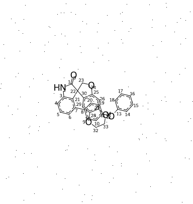 O=C1Nc2cccc(-c3ccc(Oc4ccccc4)cc3)c2C12COc1cc3c(cc12)OCCO3